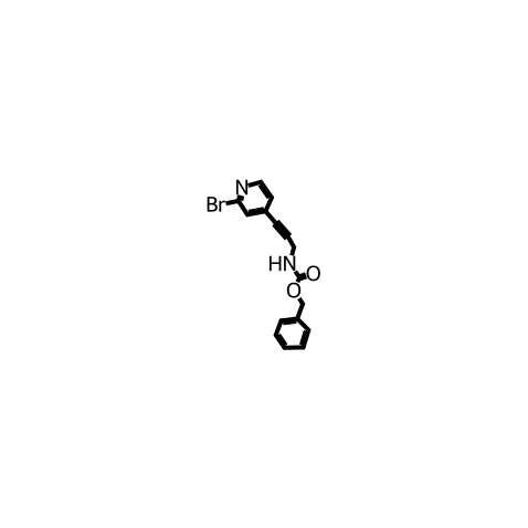 O=C(NCC#Cc1ccnc(Br)c1)OCc1ccccc1